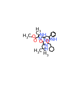 CCOC(=O)c1nc([C@@H](Cc2c[nH]c3ccccc23)NC(=O)[C@H](CC(C)C)NC(=O)CC2CCCCC2)[nH]c1C